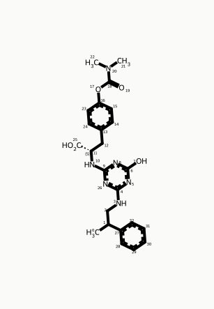 CC(CNc1nc(O)nc(N[C@@H](Cc2ccc(OC(=O)N(C)C)cc2)C(=O)O)n1)c1ccccc1